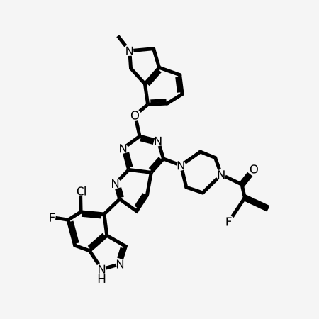 C=C(F)C(=O)N1CCN(c2nc(Oc3cccc4c3CN(C)C4)nc3nc(-c4c(Cl)c(F)cc5[nH]ncc45)ccc23)CC1